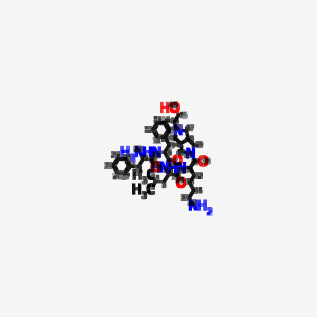 CC(C)CC(NC(=O)C(Cc1ccccc1)NC(=O)C(N)Cc1ccccc1)C(=O)NC(CCCCN)C(=O)N1CC2CN(CCO)CC2C1